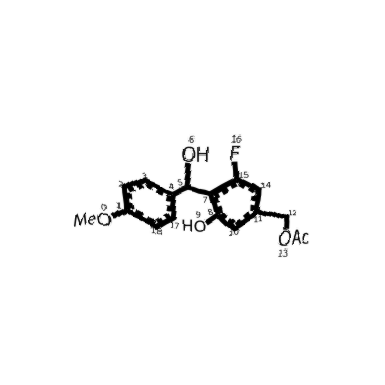 COc1ccc(C(O)c2c(O)cc(COC(C)=O)cc2F)cc1